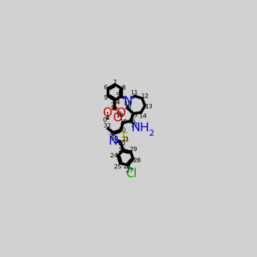 COC(=O)c1ccccc1N1CCCCC(C(N)C(=O)c2sc(-c3ccc(Cl)cc3)nc2C)C1